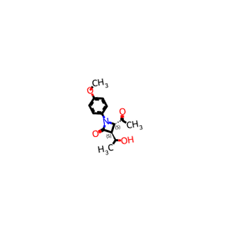 COc1ccc(N2C(=O)[C@H](C(C)O)[C@H]2C(C)=O)cc1